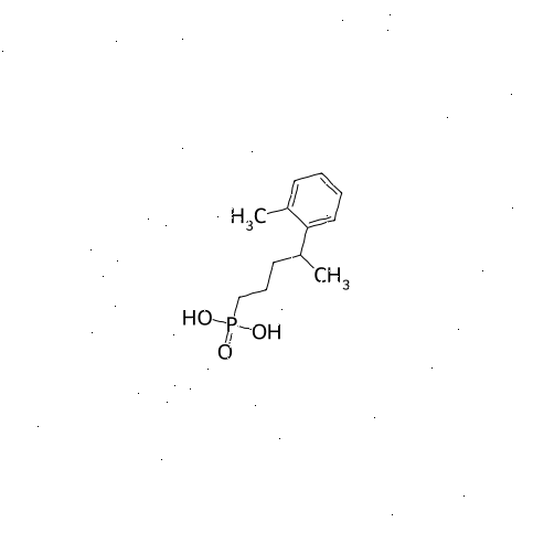 Cc1ccccc1C(C)CCCP(=O)(O)O